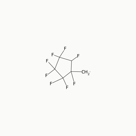 [CH2]C1(F)C(F)C(F)(F)C(F)(F)C1(F)F